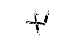 [O]=[V][P](=O)(O)O